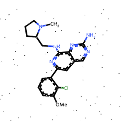 COc1cccc(-c2cc3cnc(N)nc3c(NCC3CCCN3C)n2)c1Cl